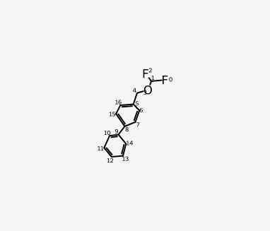 FC(F)OCc1ccc(-c2ccccc2)cc1